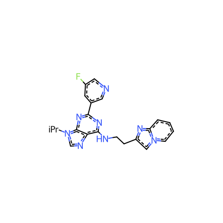 CC(C)n1cnc2c(NCCc3cn4ccccc4n3)nc(-c3cncc(F)c3)nc21